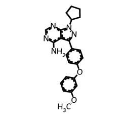 COc1cccc(Oc2ccc(-c3nn(C4CCCC4)c4ncnc(N)c34)cc2)c1